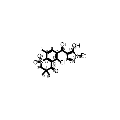 CCn1ncc(C(=O)c2cc(C)c3c(c2Cl)C(=O)C(C)(C)CS3(=O)=O)c1O